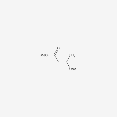 [CH2]OC(=O)CC(C)OC